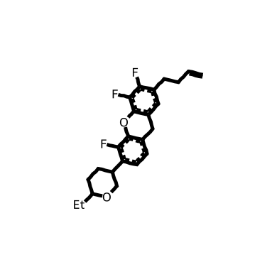 C=CCCc1cc2c(c(F)c1F)Oc1c(ccc(C3CCC(CC)OC3)c1F)C2